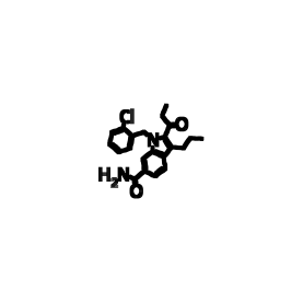 CCCc1c(C(=O)CC)n(Cc2ccccc2Cl)c2cc(C(N)=O)ccc12